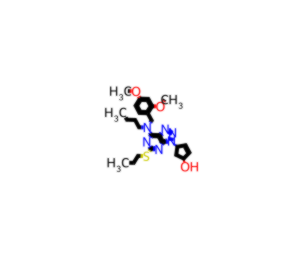 CCCCN(Cc1ccc(OC)cc1OC)c1nc(SCCC)nc2c1nnn2[C@H]1C=C[C@@H](O)C1